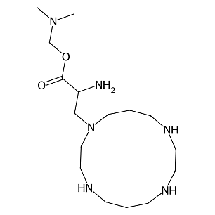 CN(C)COC(=O)C(N)CN1CCCNCCNCCCNCC1